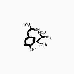 NC(CC(=O)O)C(=O)O.NC(Cc1ccc(O)cc1)C(=O)O